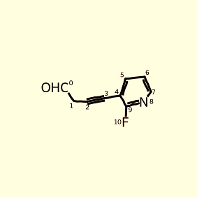 O=CCC#Cc1cccnc1F